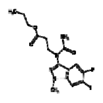 CCCOC(=O)CCN(C(N)=O)c1nn(C)c2cc(I)c(F)cc12